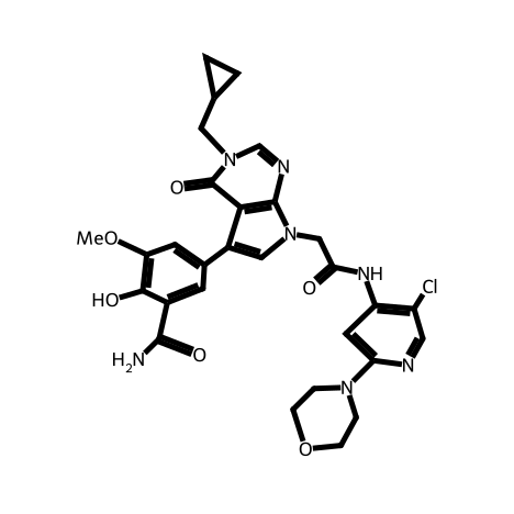 COc1cc(-c2cn(CC(=O)Nc3cc(N4CCOCC4)ncc3Cl)c3ncn(CC4CC4)c(=O)c23)cc(C(N)=O)c1O